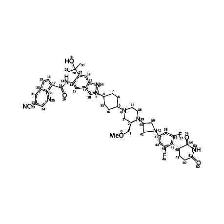 COC[C@H]1CN(C2CCC(n3cc4cc(NC(=O)c5ccc6cc(C#N)cnn56)c(C(C)(C)O)cc4n3)CC2)CCN1C1CN(c2cc(F)c([C@H]3CCC(=O)NC3=O)c(F)c2)C1